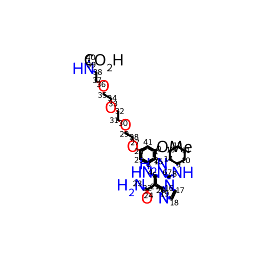 COc1cc(Nc2nc(N[C@H]3CCCC[C@H]3N)n3ccnc3c2C(N)=O)cc(OCCOCCOCCOCCNC(=O)O)c1